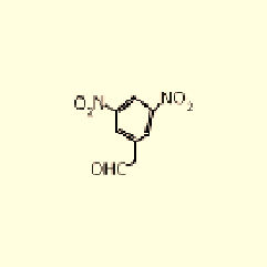 O=CCc1cc([N+](=O)[O-])cc([N+](=O)[O-])c1